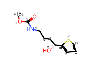 CC(C)(C)OC(=O)NCCC[C@@H](O)c1cccs1